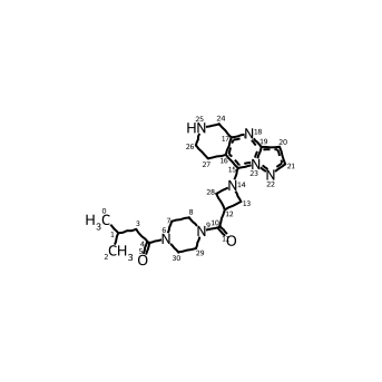 CC(C)CC(=O)N1CCN(C(=O)C2CN(c3c4c(nc5ccnn35)CNCC4)C2)CC1